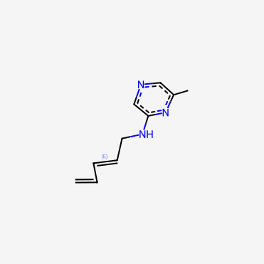 C=C/C=C/CNc1cncc(C)n1